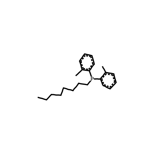 CCCCCCCCP(c1ccccc1C)c1ccccc1C